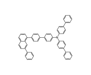 c1ccc(-c2ccc(N(c3ccc(-c4ccccc4)cc3)c3ccc(-c4ccc(-c5cccc6ccc(-c7ccccc7)cc56)cc4)cc3)cc2)cc1